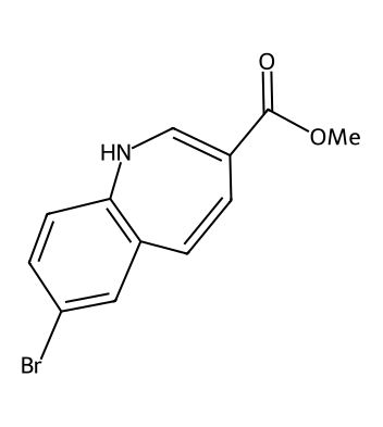 COC(=O)C1=CNc2ccc(Br)cc2C=C1